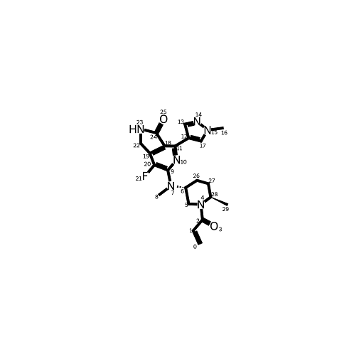 C=CC(=O)N1C[C@H](N(C)c2nc(-c3cnn(C)c3)c3c(c2F)CNC3=O)CC[C@H]1C